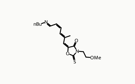 CCCC/N=C/C=C\C=C(C)\C=C1\OC(=S)N(CCOC)C1=O